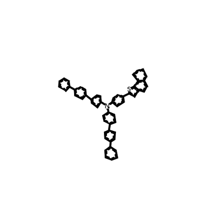 c1ccc(-c2ccc(-c3ccc(N(c4ccc(-c5ccc(-c6ccccc6)cc5)cc4)c4ccc(-c5cc6ccc7ccccc7c6s5)cc4)cc3)cc2)cc1